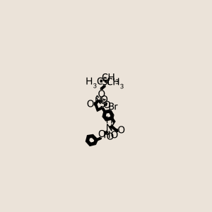 C[Si](C)(C)CCOCN1C(=O)CC(c2ccc(C[C@H](NC(=O)OCc3ccccc3)C(=O)O)cc2Br)S1(=O)=O